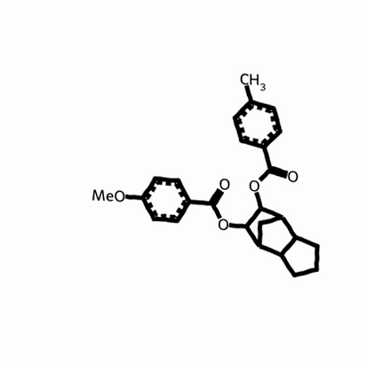 COc1ccc(C(=O)OC2C3CC(C4CCCC43)C2OC(=O)c2ccc(C)cc2)cc1